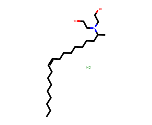 CCCCCCCC/C=C\CCCCCCCC(C)N(CCO)CCO.Cl